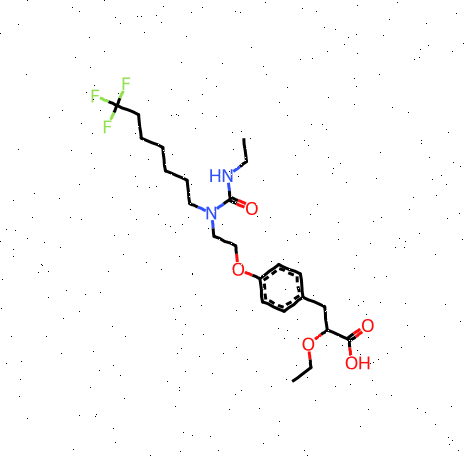 CCNC(=O)N(CCCCCCC(F)(F)F)CCOc1ccc(CC(OCC)C(=O)O)cc1